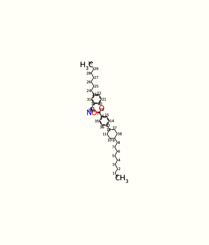 CCCCCCCCCC1CCC(c2ccc(C(=O)Oc3ccc(CCCCCCC)cc3C#N)cc2)CC1